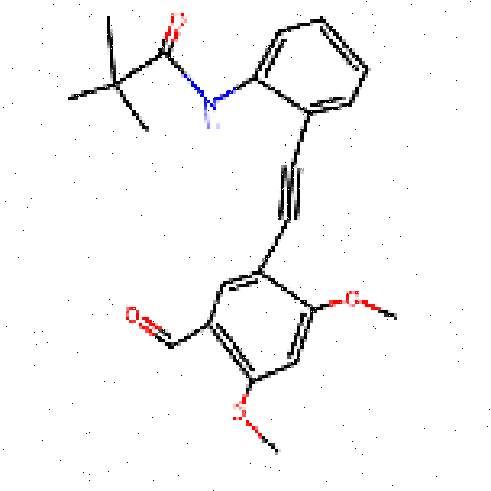 COc1cc(OC)c(C=O)cc1C#Cc1ccccc1NC(=O)C(C)(C)C